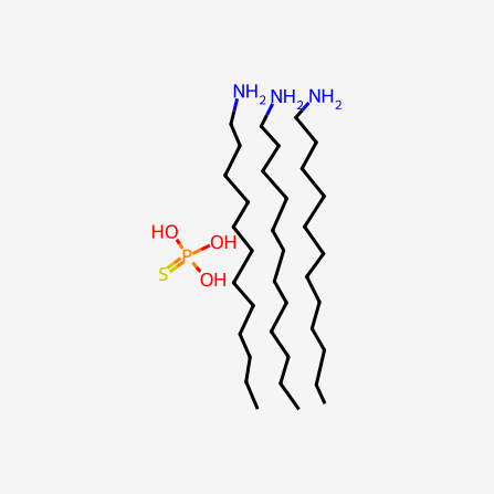 CCCCCCCCCCCCN.CCCCCCCCCCCCN.CCCCCCCCCCCCN.OP(O)(O)=S